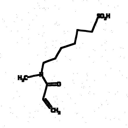 C=CC(=O)N(C)CCCCCCS(=O)(=O)O